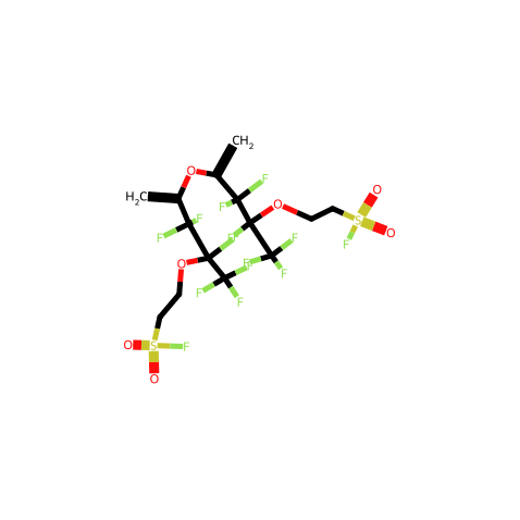 C=C(OC(=C)C(F)(F)C(F)(OCCS(=O)(=O)F)C(F)(F)F)C(F)(F)C(F)(OCCS(=O)(=O)F)C(F)(F)F